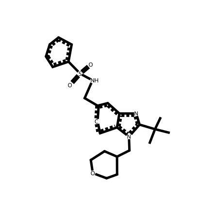 CC(C)(C)c1nc2cc(CNS(=O)(=O)c3ccccc3)ccc2n1CC1CCOCC1